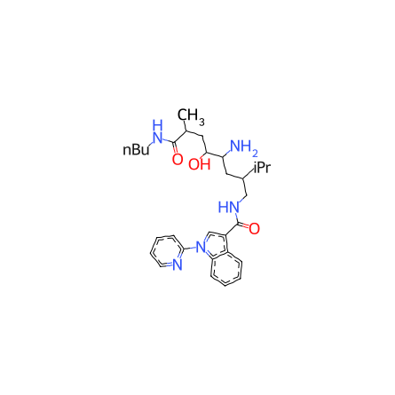 CCCCNC(=O)C(C)CC(O)C(N)CC(CNC(=O)c1cn(-c2ccccn2)c2ccccc12)C(C)C